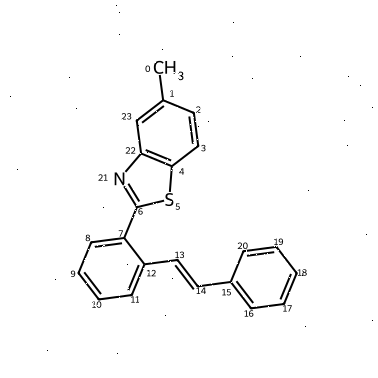 Cc1ccc2sc(-c3ccccc3C=Cc3ccccc3)nc2c1